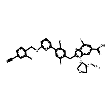 CO[C@@H]1COC[C@@H]1n1c(Cc2cc(F)c(-c3cccc(OCc4ccc(C#N)cc4F)n3)cc2F)nc2c(F)cc(C(=O)O)cc21